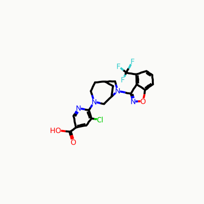 O=C(O)c1cnc(N2CCC3CC(C2)N(c2noc4cccc(C(F)(F)F)c24)C3)c(Cl)c1